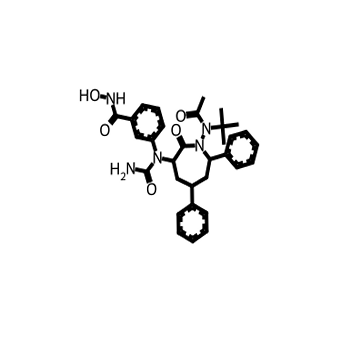 CC(=O)N(N1C(=O)C(N(C(N)=O)c2cccc(C(=O)NO)c2)CC(c2ccccc2)CC1c1ccccc1)C(C)(C)C